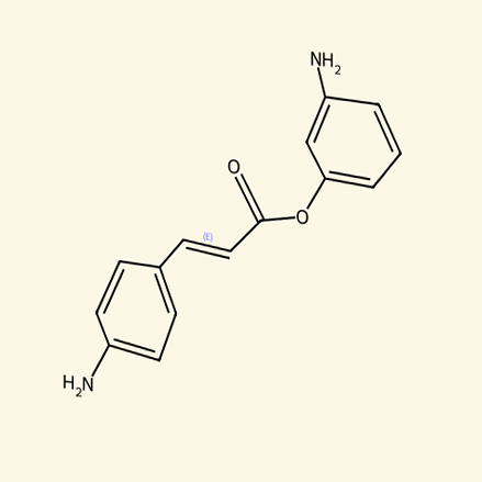 Nc1ccc(/C=C/C(=O)Oc2cccc(N)c2)cc1